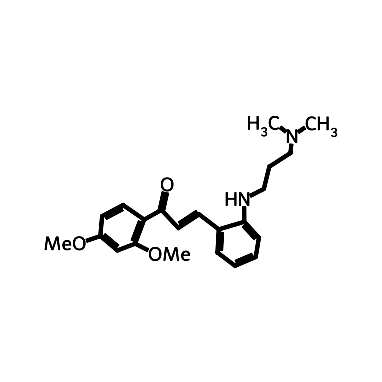 COc1ccc(C(=O)C=Cc2ccccc2NCCCN(C)C)c(OC)c1